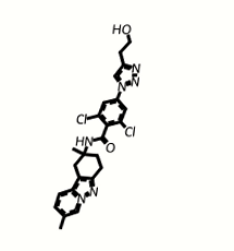 Cc1ccc2c3c(nn2c1)CCC(C)(NC(=O)c1c(Cl)cc(-n2cc(CCO)nn2)cc1Cl)C3